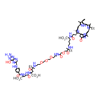 C=Cc1c(C)c2cc3nc(c4c5[nH]c(cc6nc(cc1[nH]2)C(C)=C6CC)c(C)c5C(=O)C4)[C@@H](CCC(=O)NC(CCCCNC(C)(CC)C(=O)COCC(=O)NCCCOCCOCCOCCCNC(C)(CC)C(=O)C[C@H](NC(=O)CC[C@H](NC(=O)c1ccc(NCc2cnc4nc(N)nc(O)c4n2)cc1)C(=O)O)C(=O)O)C(=O)O)[C@@H]3C